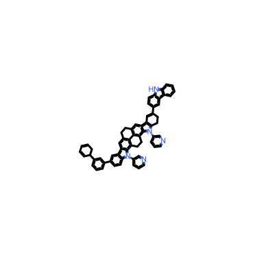 C1=CCC(c2cccc(-c3ccc4c(c3)c3cc5c6c(c3n4-c3cccnc3)CCc3c-6c(cc4c6c(n(-c7cccnc7)c34)CCC(c3ccc4[nH]c7ccccc7c4c3)=C6)CC5)c2)C=C1